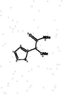 CNC(=O)C(OC)c1cccs1